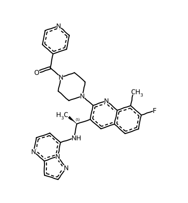 Cc1c(F)ccc2cc([C@H](C)Nc3ccnc4ccnn34)c(N3CCN(C(=O)c4ccncc4)CC3)nc12